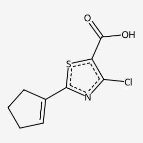 O=C(O)c1sc(C2=CCCC2)nc1Cl